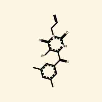 C=CCn1c(=O)[nH]c(C(=O)c2cc(C)cc(C)c2)c(C(C)C)c1=O